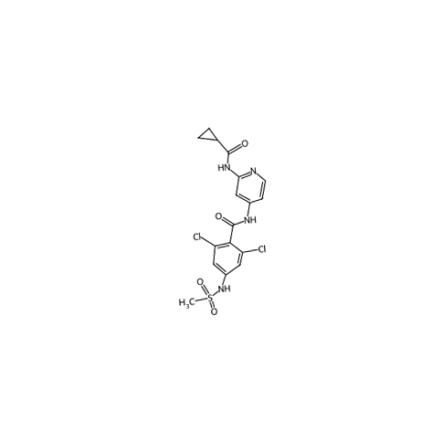 CS(=O)(=O)Nc1cc(Cl)c(C(=O)Nc2ccnc(NC(=O)C3CC3)c2)c(Cl)c1